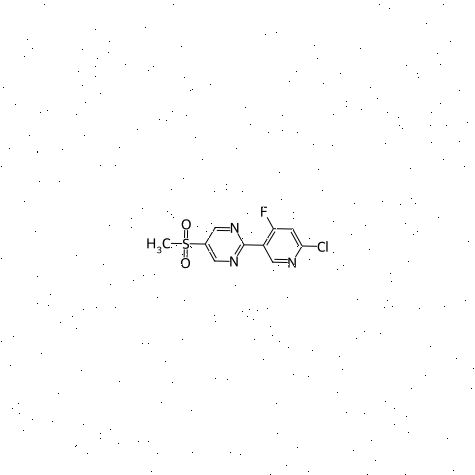 CS(=O)(=O)c1cnc(-c2cnc(Cl)cc2F)nc1